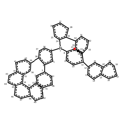 c1ccc(-c2cc(N(c3ccc(-c4ccc5ccccc5c4)cc3)c3ccccc3-c3ccccc3)ccc2-c2ccc3ccc4ccc5ccccc5c4c3c2)cc1